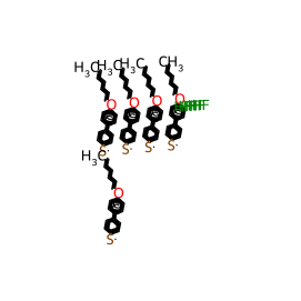 CCCCCCCOC12CCC(c3ccc([S])cc3)(CC1)CC2.CCCCCCCOC12CCC(c3ccc([S])cc3)(CC1)CC2.CCCCCCCOC12CCC(c3ccc([S])cc3)(CC1)CC2.CCCCCCCOC12CCC(c3ccc([S])cc3)(CC1)CC2.CCCCCCCOC12CCC(c3ccc([S])cc3)(CC1)CC2.F.F.F.F.F